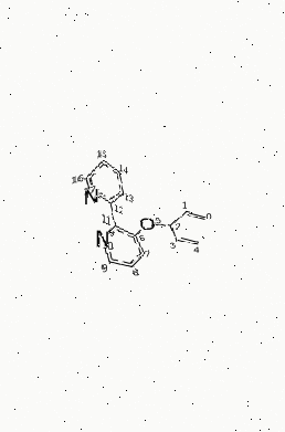 C=CC(C=C)Oc1cccnc1-c1ccccn1